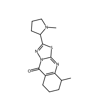 CC1CCCc2c1nc1sc(C3CCCN3C)nn1c2=O